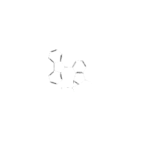 CCC[Si]1(Cl)C2=C1[CH]([Zr+2])c1cccc(C3c4ccccc4-c4ccccc43)c12.[Cl-].[Cl-]